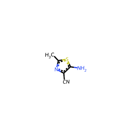 Cc1nc(C#N)c(N)s1